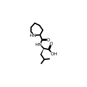 CC(C)C[C@@H](NC(=O)C1CCCCCN1)C(=O)O